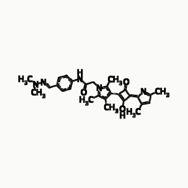 CC1=CC(C)=N/C1=C1\C(=O)C(c2c(C)c(C)n(CC(=O)Nc3ccc(/C=N/N(C)C)cc3)c2C)=C1O